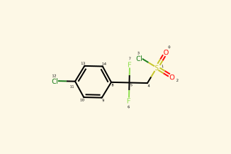 O=S(=O)(Cl)CC(F)(F)c1ccc(Cl)cc1